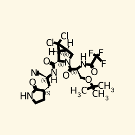 CC(C)(C)OC[C@H](NC(=O)C(F)(F)F)C(=O)N1C[C@H]2[C@@H]([C@H]1C(=O)N[C@H](C#N)C[C@@H]1CCNC1=O)C2(Cl)Cl